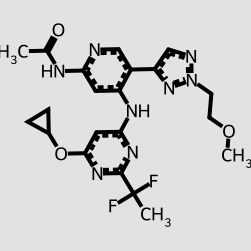 COCCn1ncc(-c2cnc(NC(C)=O)cc2Nc2cc(OC3CC3)nc(C(C)(F)F)n2)n1